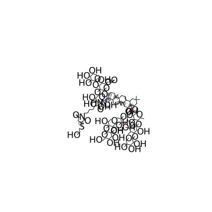 CC1OC(OC2C(C)OC(OC(=O)[C@]34CCC(C)(C)CC3C3=CCC5[C@@]6(C)CC[C@H](OC7OC(OC=O)C(O)C(OC8OCC(O)C(O)C8O)C7OC7OC(CO)C(O)C(O)C7O)[C@@](C)(/C=N/NC(=O)CCCCCN7C(=O)C[C@H](SCCO)C7=O)C6CC[C@@]5(C)[C@]3(C)CC4O)C(OC3OC(C)C(OC4OCC(O)C(OC5OC(CO)C(O)C(O)C5O)C4O)C(O)C3C)C2O)C(O)C(OC2OCC(O)C(O)C2O)C1C